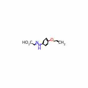 C=CCOc1ccc(N/N=C/C(=O)O)cc1